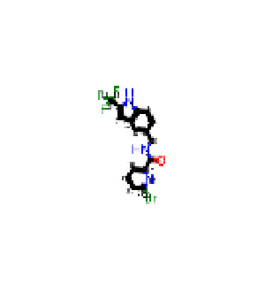 O=C(NCc1ccc2[nH]c(C(F)(F)F)cc2c1)c1cccc(Br)n1